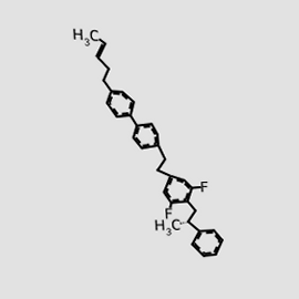 C/C=C/CCc1ccc(-c2ccc(CCc3cc(F)c(C[C@@H](C)c4ccccc4)c(F)c3)cc2)cc1